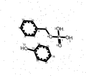 O=P(O)(O)OCc1ccccc1.Oc1ccccc1